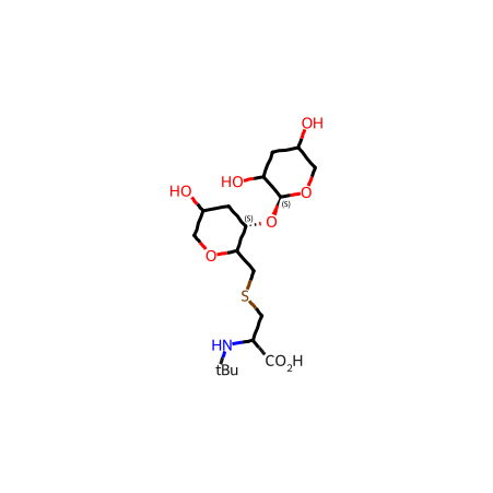 CC(C)(C)NC(CSCC1OCC(O)C[C@@H]1O[C@@H]1OCC(O)CC1O)C(=O)O